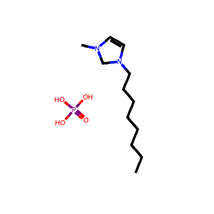 CCCCCCCCN1C=CN(C)C1.O=P(O)(O)O